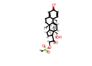 C[C@]12C=CC(=O)C=C1CC[C@@H]1C2=CC[C@@]2(C)[C@H]1CC[C@]2(O)C(=O)COS(C)(=O)=O